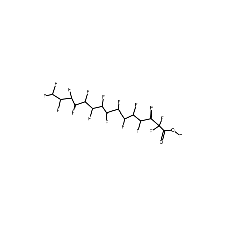 O=C(OF)C(F)(F)C(F)C(F)C(F)C(F)C(F)C(F)C(F)C(F)C(F)C(F)C(F)C(F)C(F)F